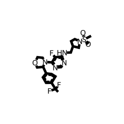 CC(F)(F)c1ccc(C2COCCN2c2ncnc(NCC3CCN(S(C)(=O)=O)C3)c2F)cc1